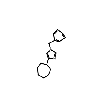 c1ccc(Cn2cnc(C3CCCCCC3)c2)cc1